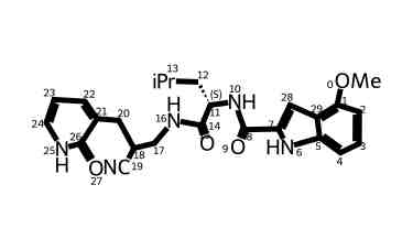 COc1cccc2[nH]c(C(=O)N[C@@H](CC(C)C)C(=O)NCC(C#N)Cc3ccc[nH]c3=O)cc12